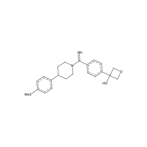 CSc1ccc(C2CCN(C(=N)c3ccc(C4(O)COC4)cc3)CC2)cc1